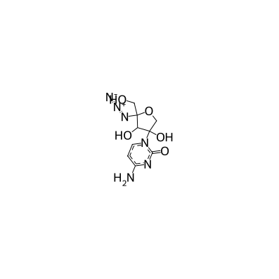 [N-]=[N+]=NC1(CO)OCC(O)(n2ccc(N)nc2=O)C1O